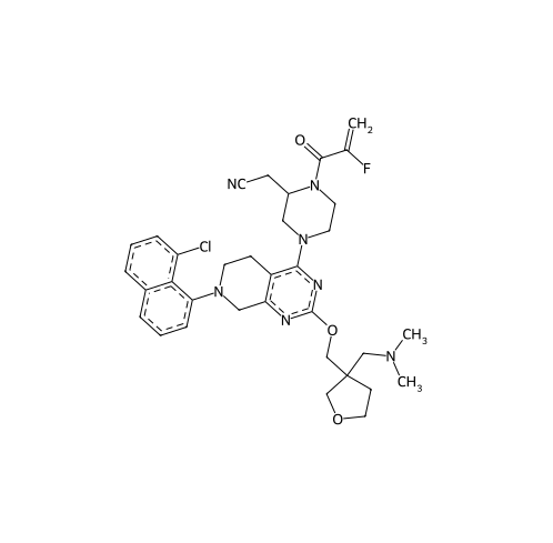 C=C(F)C(=O)N1CCN(c2nc(OCC3(CN(C)C)CCOC3)nc3c2CCN(c2cccc4cccc(Cl)c24)C3)CC1CC#N